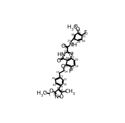 CCOc1noc(C)c1-c1ccc(CCOc2c(F)ccc3nc(C(=O)NCc4ccc(F)c(OC)c4)[nH]c(=O)c23)cc1